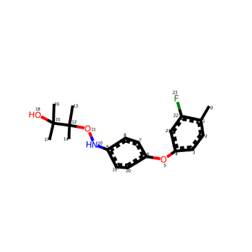 Cc1ccc(Oc2ccc(NOC(C)(C)C(C)(C)O)cc2)cc1F